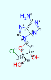 Nc1ncnc2c1ncn2[C@H]1C[C@H](O)[C@](CO)(CCl)O1